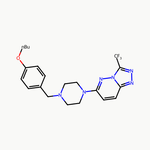 CCCCOc1ccc(CN2CCN(c3ccc4nnc(C(F)(F)F)n4n3)CC2)cc1